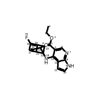 CCOC(=O)c1cnc2[nH]ccc2c1NC1C=C2C(F)=C3C2CC31